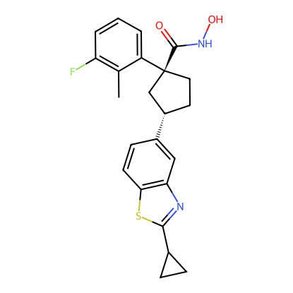 Cc1c(F)cccc1[C@]1(C(=O)NO)CC[C@H](c2ccc3sc(C4CC4)nc3c2)C1